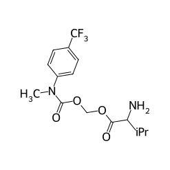 CC(C)C(N)C(=O)OCOC(=O)N(C)c1ccc(C(F)(F)F)cc1